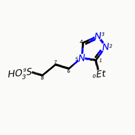 CCc1nncn1CCCS(=O)(=O)O